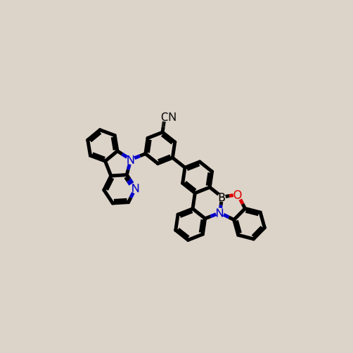 N#Cc1cc(-c2ccc3c(c2)-c2ccccc2N2B3Oc3ccccc32)cc(-n2c3ccccc3c3cccnc32)c1